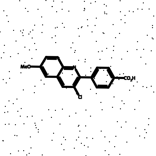 COc1ccc2nc(-c3ccc(C(=O)O)cc3)c(Cl)cc2c1